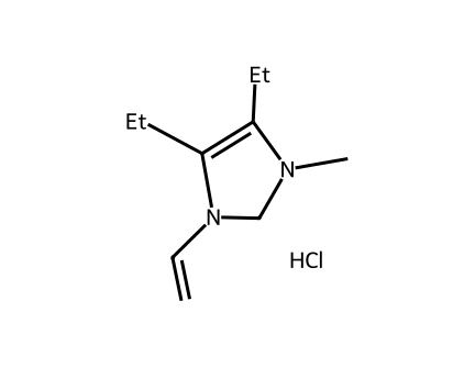 C=CN1CN(C)C(CC)=C1CC.Cl